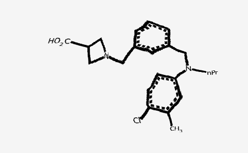 CCCN(Cc1cccc(CN2CC(C(=O)O)C2)c1)c1ccc(Cl)c(C)c1